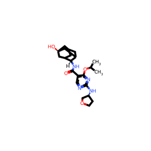 CC(C)Oc1nc(N[C@H]2CCOC2)ncc1C(=O)N[C@H]1C2CC3CC1C[C@@](O)(C3)C2